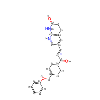 O=C1CCc2cc(/C=C/C(=O)C3CC=C(COc4ccccc4)CC3)cnc2N1